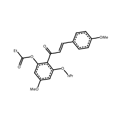 CCCOc1cc(OC)cc(OC(=O)CC)c1C(=O)C=Cc1ccc(OC)cc1